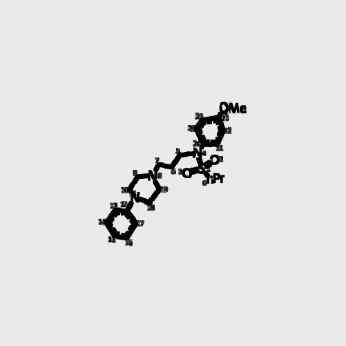 CCCS(=O)(=O)N(CCCN1CCN(c2ccccc2)CC1)c1ccc(OC)cc1